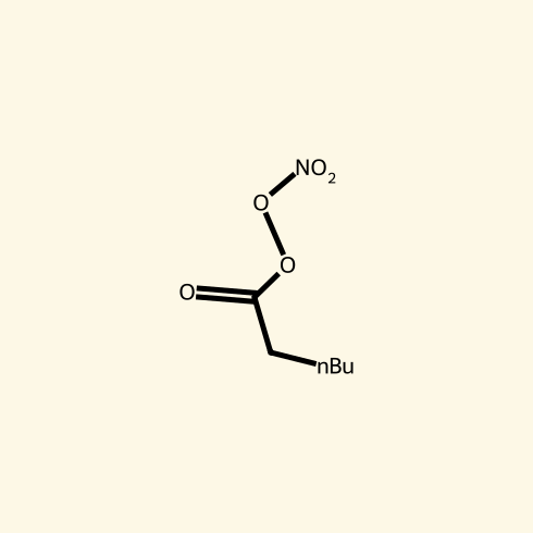 CCCCCC(=O)OO[N+](=O)[O-]